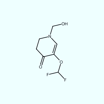 O=C1CCN(CO)C=C1OC(F)F